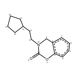 O=C1Oc2ccccc2CN1CCC1CCCC1